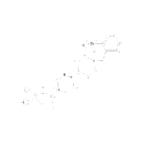 COC1(Cc2ccccc2Br)CCC(N2CCN(C(=O)OC(C)(C)C)CC2)CC1